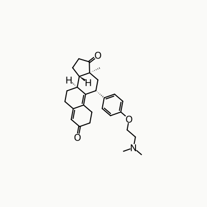 CN(C)CCOc1ccc([C@H]2C[C@]3(C)C(=O)CC[C@H]3[C@@H]3CCC4=CC(=O)CCC4=C32)cc1